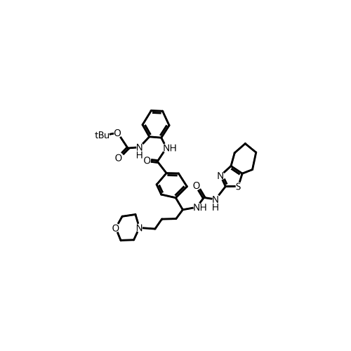 CC(C)(C)OC(=O)Nc1ccccc1NC(=O)c1ccc(C(CCCN2CCOCC2)NC(=O)Nc2nc3c(s2)CCCC3)cc1